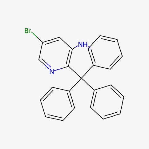 Nc1cc(Br)cnc1C(c1ccccc1)(c1ccccc1)c1ccccc1